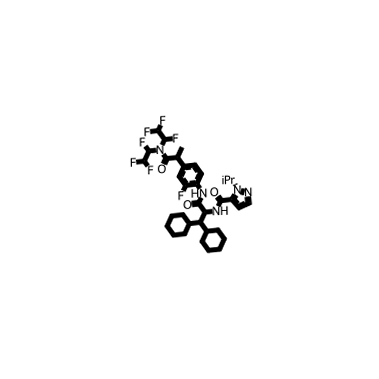 CC(C(=O)N(C(F)C(F)F)C(F)C(F)F)c1ccc(NC(=O)C(NC(=O)c2ccnn2C(C)C)C(C2CCCCC2)C2CCCCC2)c(F)c1